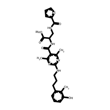 COC(=O)C(CNC(=O)c1cccs1)NC(=O)c1c(C)nc(NCCCc2cccc(O)c2C)nc1C